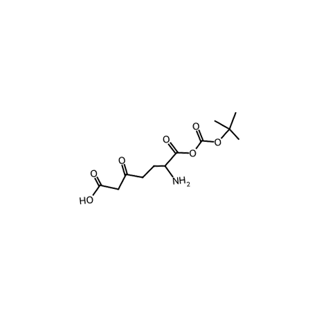 CC(C)(C)OC(=O)OC(=O)C(N)CCC(=O)CC(=O)O